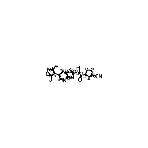 Cc1noc(C)c1-c1cnc2nc(NC(=O)[C@H]3CCN(C#N)C3)sc2c1